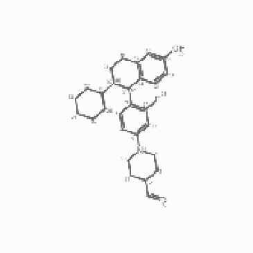 O=CC1CCN(c2ccc([C@@H]3c4ccc(O)cc4CC[C@@H]3C3CCCCC3)c(F)c2)CC1